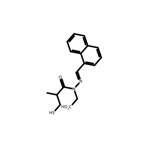 CC(CS)C(=O)N(CC(=O)O)/N=C/c1cccc2ccccc12